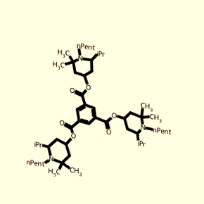 CCCCCN1C(C(C)C)CC(OC(=O)c2cc(C(=O)OC3CC(C(C)C)N(CCCCC)C(C)(C)C3)cc(C(=O)OC3CC(C(C)C)N(CCCCC)C(C)(C)C3)c2)CC1(C)C